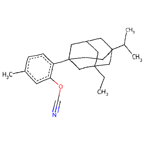 CCC12CC3CC(c4ccc(C)cc4OC#N)(C1)CC(C(C)C)(C3)C2